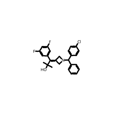 CC(C)(O)C(=C1CN(C(c2ccccc2)c2ccc(Cl)cc2)C1)c1cc(F)cc(F)c1